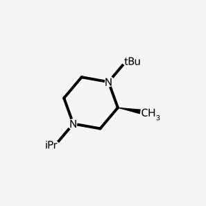 CC(C)N1CCN(C(C)(C)C)[C@@H](C)C1